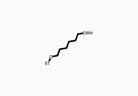 CCOC[CH]CCCCOC